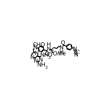 COC(=O)[C@H](CCCNC(=O)c1ccc(N=[N+]=[N-])cc1)NC(=O)c1ccc(N(C=O)Cc2cnc3nc(N)nc(N)c3n2)cc1